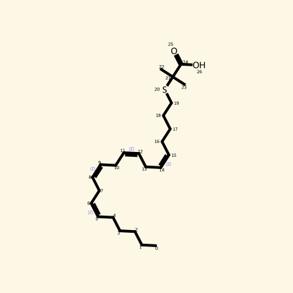 CCCCC/C=C\C/C=C\C/C=C\C/C=C\CCCCSC(C)(C)C(=O)O